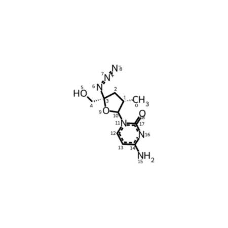 C[C@H]1C[C@](CO)(N=[N+]=[N-])OC1n1ccc(N)nc1=O